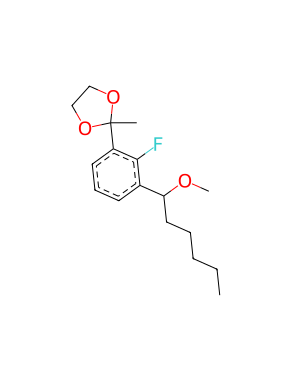 CCCCCC(OC)c1cccc(C2(C)OCCO2)c1F